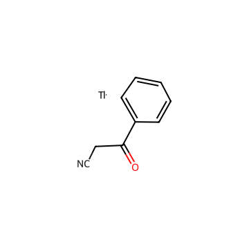 N#CCC(=O)c1ccccc1.[Tl]